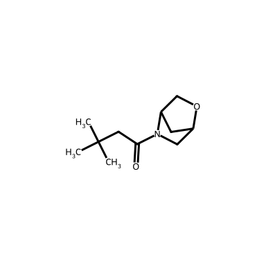 CC(C)(C)CC(=O)N1CC2CC1CO2